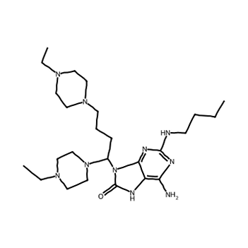 CCCCNc1nc(N)c2[nH]c(=O)n(C(CCCN3CCN(CC)CC3)N3CCN(CC)CC3)c2n1